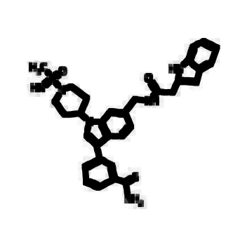 CS(=N)(=O)N1CCC(n2cc(-c3cccc(C(N)=S)c3)c3ccc(CNC(=O)Cc4cc5ccccc5[nH]4)cc32)CC1